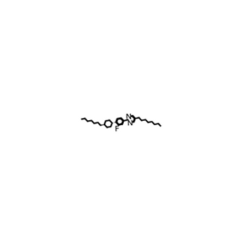 CCCCCCCCc1cnc(-c2ccc([C@H]3CC[C@H](CCCCCCC)CC3)c(F)c2)nc1